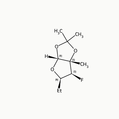 CC[C@H]1O[C@@H]2OC(C)(C)O[C@]2(C)[C@H]1F